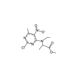 CCN(c1nc(Cl)nc(C)c1[N+](=O)[O-])C(C)C(=O)OC